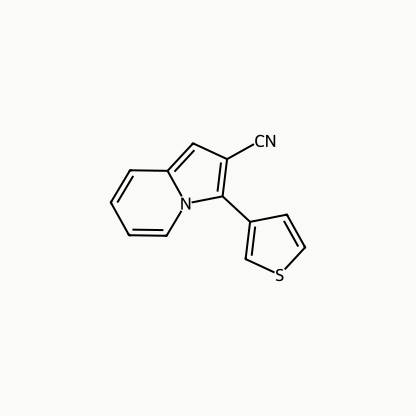 N#Cc1cc2ccccn2c1-c1ccsc1